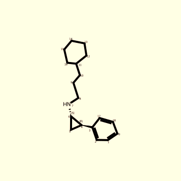 c1ccc([C@H]2C[C@@H]2NCCCC2CCCCC2)cc1